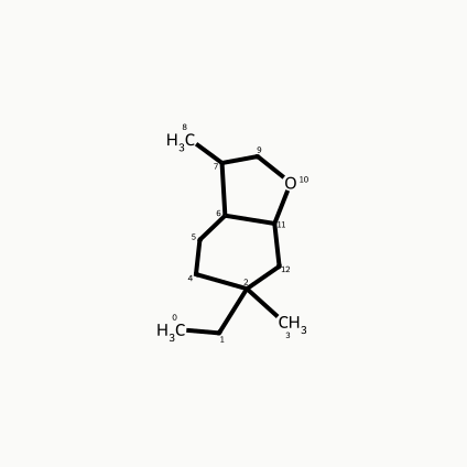 CCC1(C)CCC2C(C)COC2C1